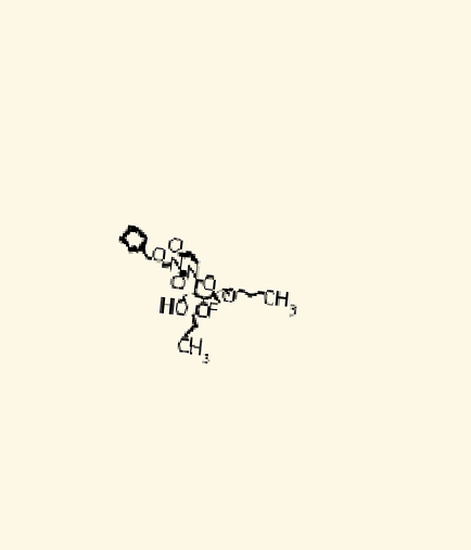 CCCCOC[C@@]1(CF)O[C@@H](n2ccc(=O)n(COCc3ccccc3)c2=O)[C@@H](CO)[C@@H]1OCCCC